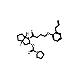 C=CCc1ccccc1OCCCC(=O)N1[C@@H](OC(=O)N2CCCC2)C[C@@H]2CCC[C@@H]21